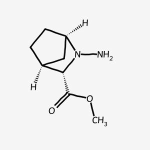 COC(=O)[C@@H]1[C@H]2CC[C@H](C2)N1N